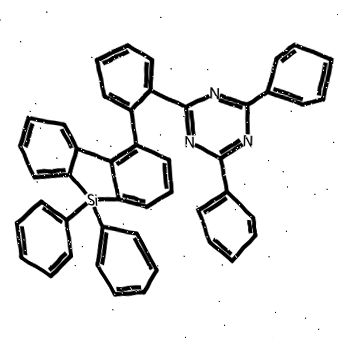 c1ccc(-c2nc(-c3ccccc3)nc(-c3ccccc3-c3cccc4c3-c3ccccc3[Si]4(c3ccccc3)c3ccccc3)n2)cc1